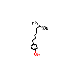 CCCC(CCCCCc1ccc(O)cc1)C(C)(C)C